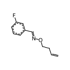 C=CCCON=[C]c1cccc(F)c1